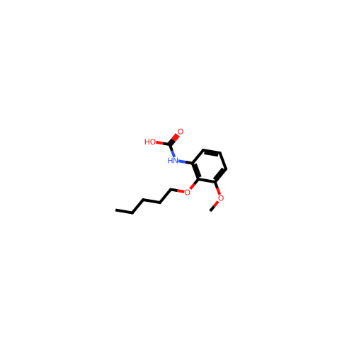 CCCCCOc1c(NC(=O)O)cccc1OC